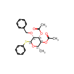 CC(=O)O[C@@H]1[C@@H](OC(C)=O)[C@H](C)O[C@@H](Sc2ccccc2)[C@@H]1OCc1ccccc1